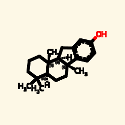 CC1(C)CCC[C@]2(C)[C@H]3Cc4cc(O)ccc4[C@]3(C)CC[C@@H]12